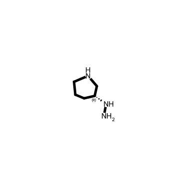 NN[C@@H]1CCCNC1